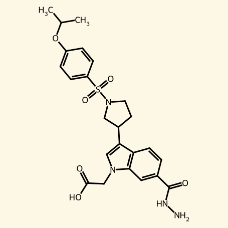 CC(C)Oc1ccc(S(=O)(=O)N2CCC(c3cn(CC(=O)O)c4cc(C(=O)NN)ccc34)C2)cc1